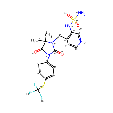 CC1(C)C(=O)N(c2ccc(SC(F)(F)F)cc2)C(=O)N1Cc1ccncc1NS(N)(=O)=O